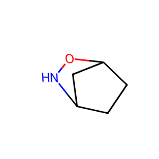 C1CC2CC1NO2